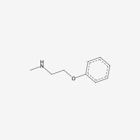 CNCCOc1[c]cccc1